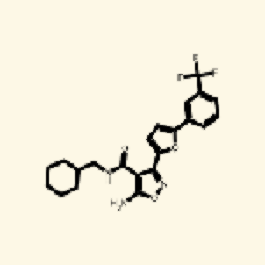 Nc1onc(-c2ccc(-c3cccc(C(F)(F)F)c3)o2)c1C(=O)NCC1CCCCC1